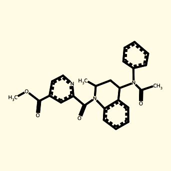 COC(=O)c1ccnc(C(=O)N2c3ccccc3C(N(C(C)=O)c3ccccc3)CC2C)c1